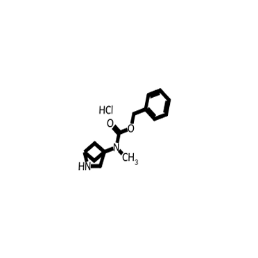 CN(C(=O)OCc1ccccc1)C12CNC(C1)C2.Cl